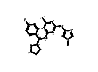 Cn1cnc(Nc2nc(Cl)nc(NC(c3ccc(F)cc3)C3CCCC3)n2)c1